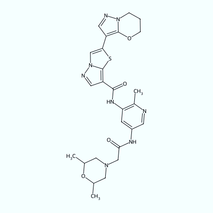 Cc1ncc(NC(=O)CN2CC(C)OC(C)C2)cc1NC(=O)c1cnn2cc(-c3cnn4c3OCCC4)sc12